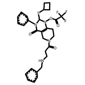 O=C(CCNCc1ccccc1)N1CCC2=C(C1)C(=O)N(c1ccccc1)C(SC1CCC1)N2OC(=O)C(F)(F)F